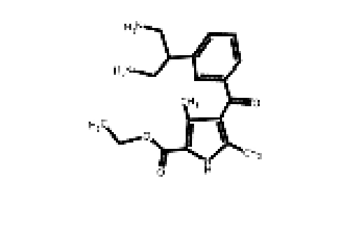 CCOC(=O)c1[nH]c(C)c(C(=O)c2cccc(C(CN)CN)c2)c1C